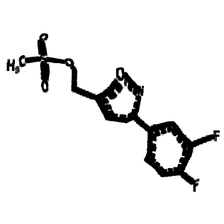 CS(=O)(=O)OCc1cc(-c2ccc(F)c(F)c2)no1